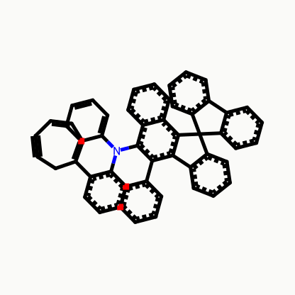 C1#CCC(c2ccccc2N(C2=CC=CCC2)c2c(-c3ccccc3)c3c(c4ccccc24)C2(c4ccccc4-c4ccccc42)c2ccccc2-3)=CC=C1